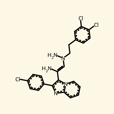 N/C(=C\N(N)CCc1ccc(Cl)c(Cl)c1)c1c(-c2ccc(Cl)cc2)nc2ccccn12